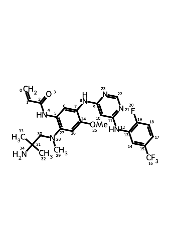 C=CC(=O)Nc1cc(Nc2cc(Nc3cc(C(F)(F)F)ccc3F)ncn2)c(OC)cc1N(C)CC(C)(C)N